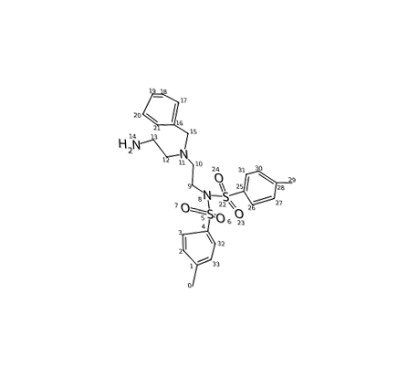 Cc1ccc(S(=O)(=O)N(CCN(CCN)Cc2ccccc2)S(=O)(=O)c2ccc(C)cc2)cc1